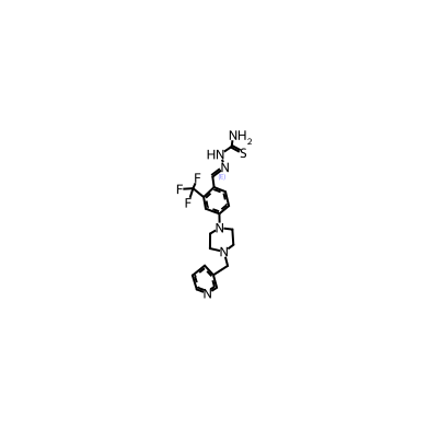 NC(=S)N/N=C/c1ccc(N2CCN(Cc3cccnc3)CC2)cc1C(F)(F)F